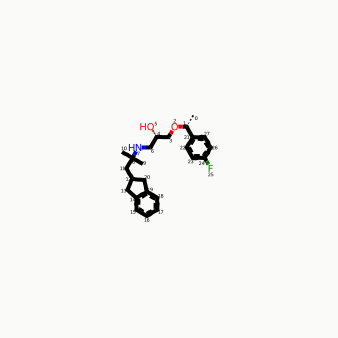 C[C@@H](OC[C@@H](O)CNC(C)(C)CC1Cc2ccccc2C1)c1[c]cc(F)cc1